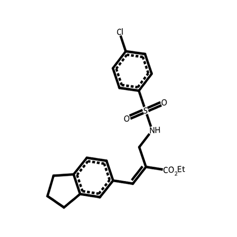 CCOC(=O)/C(=C/c1ccc2c(c1)CCC2)CNS(=O)(=O)c1ccc(Cl)cc1